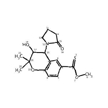 COC(=S)c1ccc2c(c1)C(N1CCCC1=O)C(O)C(C)(C)O2